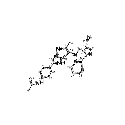 CC(=O)Nc1ccc(-c2nn3nc(C)c(/N=N/c4c(C#N)cnn4-c4ncccn4)c3[nH]2)cc1